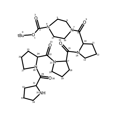 CC(C)(C)OC(=O)N1CCN(C(=O)C2CCCN2C(=O)C2CCCN2C(=O)C2CCCN2C(=O)C2CCCN2)CC1